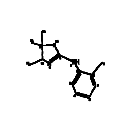 Cc1ccccc1NC1=NC(C)C(C)(C)S1